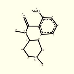 COc1ccccc1C(=O)N(C)C1CCN(C)CC1